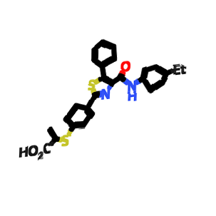 CCc1ccc(NC(=O)c2nc(-c3ccc(SC(C)C(=O)O)cc3)sc2-c2ccccc2)cc1